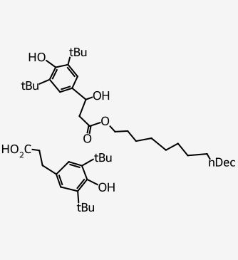 CC(C)(C)c1cc(CCC(=O)O)cc(C(C)(C)C)c1O.CCCCCCCCCCCCCCCCCCOC(=O)CC(O)c1cc(C(C)(C)C)c(O)c(C(C)(C)C)c1